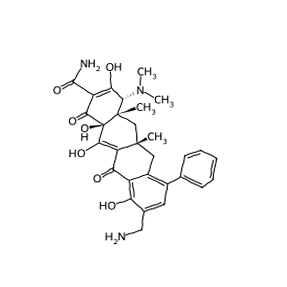 CN(C)[C@H]1C(O)=C(C(N)=O)C(=O)[C@@]2(O)C(O)=C3C(=O)c4c(O)c(CN)cc(-c5ccccc5)c4C[C@@]3(C)C[C@@]12C